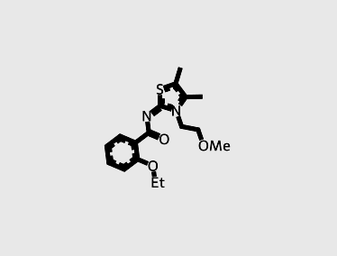 CCOc1ccccc1C(=O)N=c1sc(C)c(C)n1CCOC